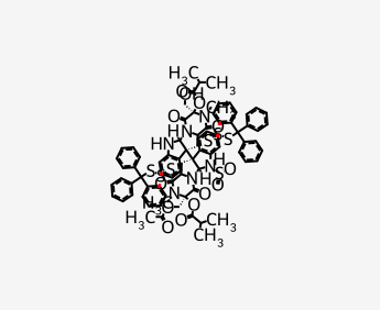 CC(=O)OC[C@@]1(OC(=O)C(C)C)C(=O)N2[C@H]3N([SH](=O)=O)c4ccccc4[C@@]3([C@]34C[C@]5(SSSC(c6ccccc6)(c6ccccc6)c6ccccc6)C(=O)N(C)[C@](CO)(OC(=O)C(C)C)C(=O)N5[C@H]3Nc3ccccc34)C[C@]2(SSSC(c2ccccc2)(c2ccccc2)c2ccccc2)C(=O)N1C